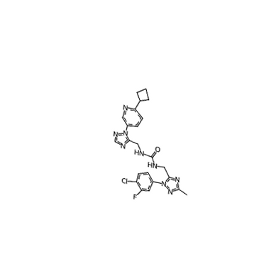 Cc1nc(CNC(=O)NCc2ncnn2-c2ccc(C3CCC3)nc2)n(-c2ccc(Cl)c(F)c2)n1